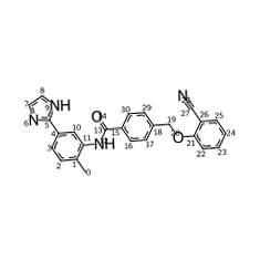 Cc1ccc(-c2ncc[nH]2)cc1NC(=O)c1ccc(COc2ccccc2C#N)cc1